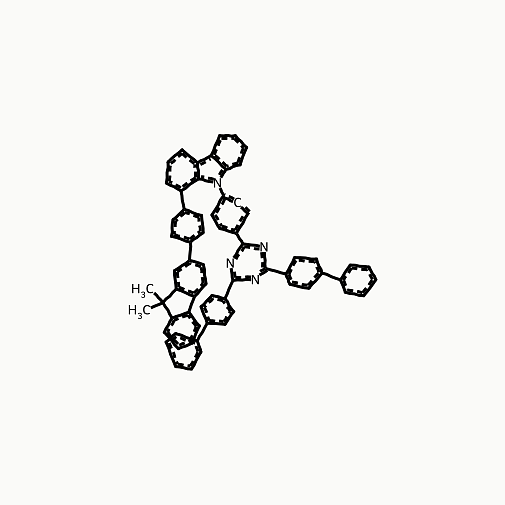 CC1(C)c2ccccc2-c2ccc(-c3ccc(-c4cccc5c6ccccc6n(-c6ccc(-c7nc(-c8ccc(-c9ccccc9)cc8)nc(-c8ccc(-c9ccccc9)cc8)n7)cc6)c45)cc3)cc21